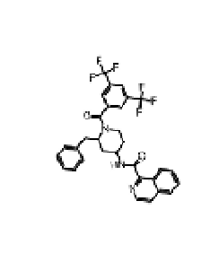 O=C(NC1CCN(C(=O)c2cc(C(F)(F)F)cc(C(F)(F)F)c2)C(Cc2ccccc2)C1)c1nccc2ccccc12